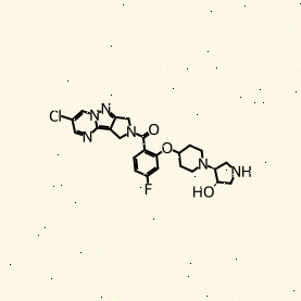 O=C(c1ccc(F)cc1OC1CCN([C@H]2CNC[C@@H]2O)CC1)N1Cc2nn3cc(Cl)cnc3c2C1